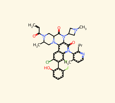 C=CC(=O)N1CC2C(=O)N(C3CN(C)C3)c3c(c4cc(Cl)c(-c5c(O)cccc5F)c(F)c4n(-c4c(C)ccnc4C(C)C)c3=O)N2CC1C